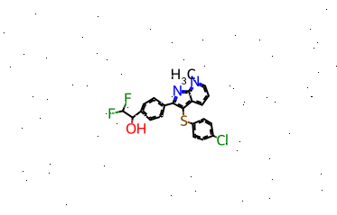 Cn1cccc2c(Sc3ccc(Cl)cc3)c(-c3ccc(C(O)C(F)F)cc3)nc1-2